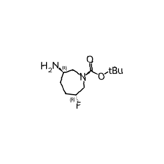 CC(C)(C)OC(=O)N1C[C@H](N)CC[C@@H](F)C1